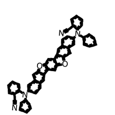 N#Cc1ccccc1N(c1ccccc1)c1ccc2cc3c(cc2c1)oc1cc2c(cc13)oc1cc3cc(N(c4ccccc4)c4ccccc4C#N)ccc3cc12